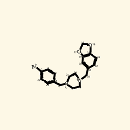 Brc1ccc(CN2CCN(Cc3ccc4c(c3)OCO4)CC2)cc1